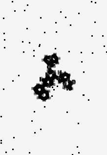 C=C(F)C(=O)N1CC[C@@H]2[C@H]1CN2c1nc(OCC23CCCN2CCC3)nc2c(F)c(-c3cccc4c3CCCC4)ncc12